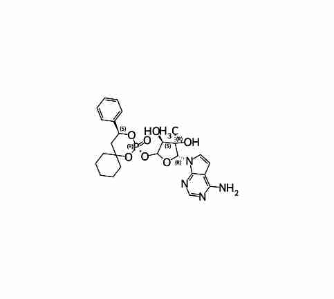 C[C@@]1(O)[C@H](O)C(O[P@]2(=O)O[C@H](c3ccccc3)CC3(CCCCC3)O2)O[C@H]1n1ccc2c(N)ncnc21